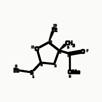 CCSC1C[C@](C)(C(=O)OC)[C@@H](CC)O1